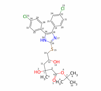 CC(O)(CC(=O)OC(C)(C)C)CC(O)CSc1nc(-c2ccc(Cl)cc2)c(-c2ccc(Cl)cc2)[nH]1